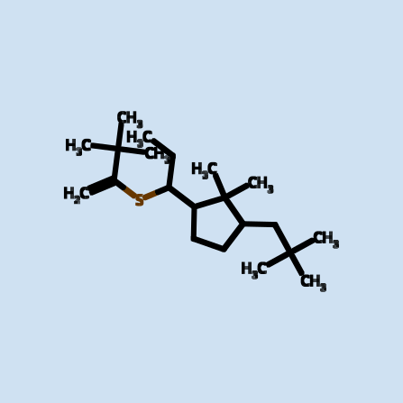 C=C(SC(CC)C1CCC(CC(C)(C)C)C1(C)C)C(C)(C)C